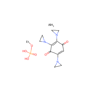 CCOP(=O)(O)O.O=C1C=C(N2CC2)C(=O)C(N2CC2)=C1N1CC1.[AlH3]